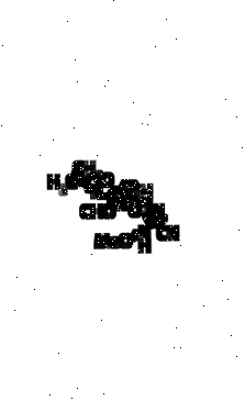 COCCNc1cc(NC(=O)N2CCCc3cc(CN4C[C@@H](N(C)C)CC4=O)c(C=O)nc32)ncc1C#N